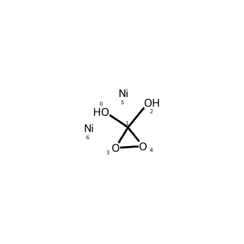 OC1(O)OO1.[Ni].[Ni]